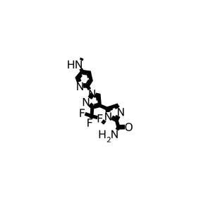 CNc1ccc(-n2cc(-c3cnc(C(N)=O)n3C)c(C(F)(F)F)n2)nc1